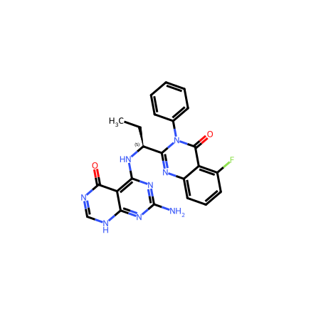 CC[C@H](Nc1nc(N)nc2[nH]cnc(=O)c12)c1nc2cccc(F)c2c(=O)n1-c1ccccc1